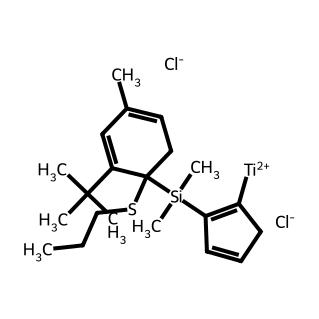 CCCSC1([Si](C)(C)C2=[C]([Ti+2])CC=C2)CC=C(C)C=C1C(C)(C)C.[Cl-].[Cl-]